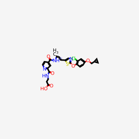 C[C@@H](/C=C/c1cnc(Oc2ccc(OCC3CC3)cc2Cl)s1)NC(=O)c1ccnc(C(=O)NCCC(=O)O)c1